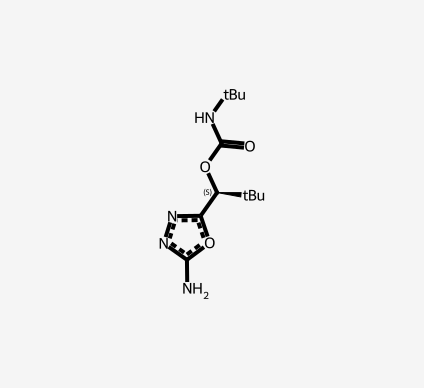 CC(C)(C)NC(=O)O[C@H](c1nnc(N)o1)C(C)(C)C